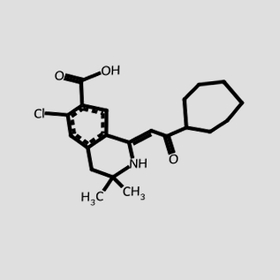 CC1(C)Cc2cc(Cl)c(C(=O)O)cc2C(=CC(=O)C2CCCCCC2)N1